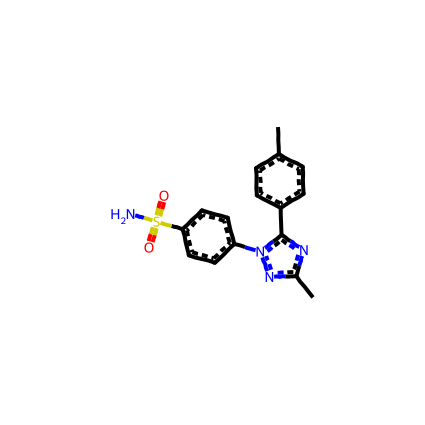 Cc1ccc(-c2nc(C)nn2-c2ccc(S(N)(=O)=O)cc2)cc1